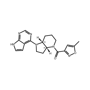 Cc1cc(C(=O)N2CCC[C@@H]3[C@H]2CCN3c2ncnc3[nH]ccc23)no1